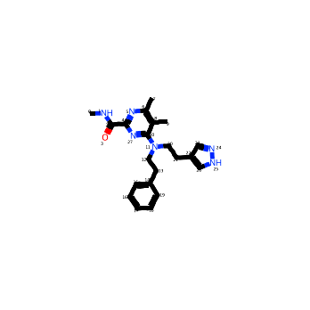 CNC(=O)c1nc(C)c(C)c(N(CCc2ccccc2)CCc2cn[nH]c2)n1